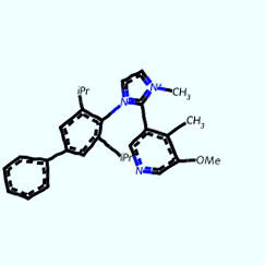 COc1cncc(-c2n(-c3c(C(C)C)cc(-c4ccccc4)cc3C(C)C)cc[n+]2C)c1C